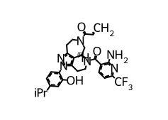 C=CC(=O)N1CCc2nn(-c3ccc(C(C)C)cc3O)c3c2[C@H](C1)N(C(=O)c1ccc(C(F)(F)F)nc1N)CC3